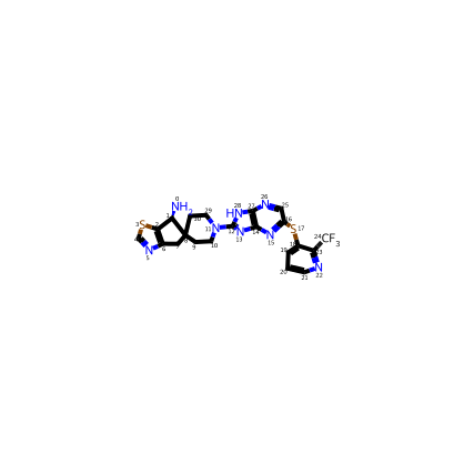 N[C@@H]1c2scnc2CC12CCN(c1nc3nc(Sc4cccnc4C(F)(F)F)cnc3[nH]1)CC2